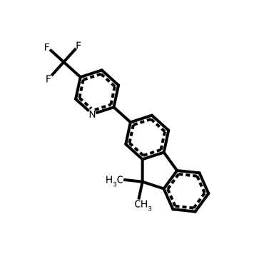 CC1(C)c2ccccc2-c2ccc(-c3ccc(C(F)(F)F)cn3)cc21